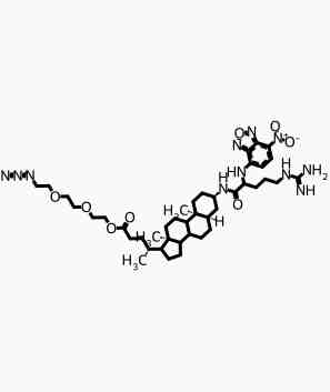 C[C@H](CCC(=O)OCCOCCOCCN=[N+]=[N-])C1CCC2C3CC[C@@H]4C[C@H](NC(=O)C(CCCNC(=N)N)Nc5ccc([N+](=O)[O-])c6nonc56)CC[C@]4(C)C3CC[C@@]21C